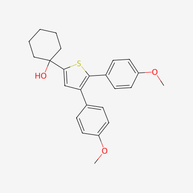 COc1ccc(-c2cc(C3(O)CCCCC3)sc2-c2ccc(OC)cc2)cc1